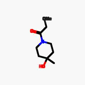 COCC(=O)N1CCC(C)(O)CC1